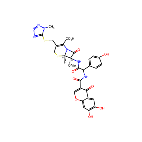 CO[C@@]1(NC(=O)C(NC(=O)c2coc3cc(O)c(O)cc3c2=O)c2ccc(O)cc2)C(=O)N2C(C(=O)O)=C(CSc3nnnn3C)CS[C@H]21